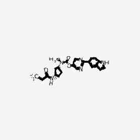 CCC(=O)N[C@H]1CC[C@@H](N(C)C(=O)Oc2cnc(-c3ccc4[nH]ccc4c3)nc2)C1